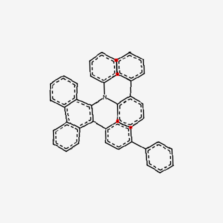 c1ccc(-c2ccc(-c3c(N(c4ccccc4)c4ccccc4-c4ccccc4)c4ccccc4c4ccccc34)cc2)cc1